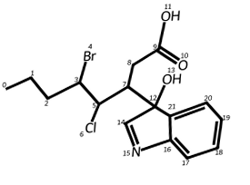 CCCC(Br)C(Cl)C(CC(=O)O)C1(O)C=Nc2ccccc21